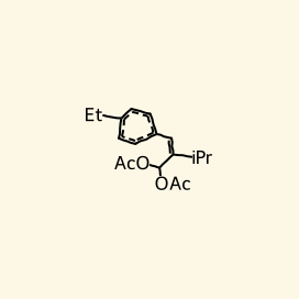 CCc1ccc(C=C(C(C)C)C(OC(C)=O)OC(C)=O)cc1